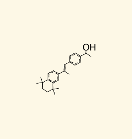 C/C(=C\c1ccc(C(C)O)cc1)c1ccc2c(c1)C(C)(C)CCC2(C)C